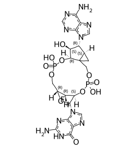 Nc1nc2c(ncn2[C@@H]2O[C@@H]3COP(=O)(O)O[C@H]4[C@@H](O)[C@H](n5cnc6c(N)ncnc65)[C@H]5CC54COP(=O)(O)O[C@@H]2[C@@H]3F)c(=O)[nH]1